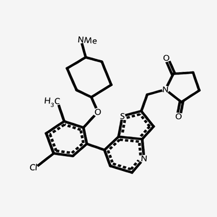 CNC1CCC(Oc2c(C)cc(Cl)cc2-c2ccnc3cc(CN4C(=O)CCC4=O)sc23)CC1